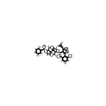 O=C(O[C@H]1CO[C@H]2[C@@H]1OC[C@@H]2OCc1c(-c2c(Cl)cccc2Cl)noc1C1CC1)c1ccccc1